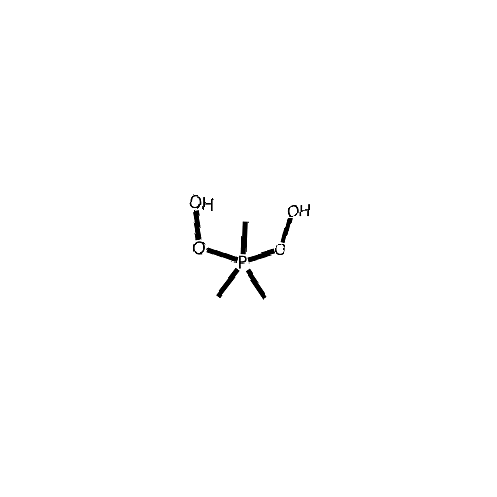 CP(C)(C)(OO)OO